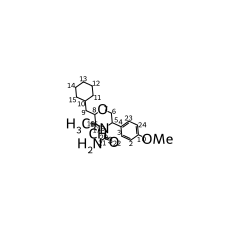 COc1ccc(C2COC(CC3CCCCC3)C(C)(C)N2C(N)=O)cc1